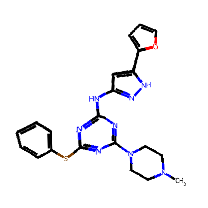 CN1CCN(c2nc(Nc3cc(-c4ccco4)[nH]n3)nc(Sc3ccccc3)n2)CC1